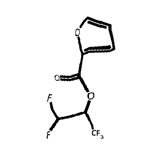 O=C(OC(C(F)F)C(F)(F)F)c1ccco1